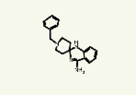 NC1=NC2(CCN(Cc3ccccc3)CC2)Nc2ccccc21